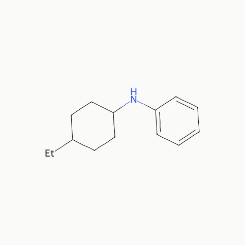 CCC1CCC(Nc2ccccc2)CC1